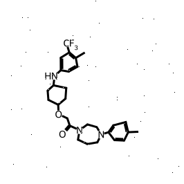 Cc1ccc(N2CCCN(C(=O)COC3CCC(Nc4ccc(C)c(C(F)(F)F)c4)CC3)CC2)cc1